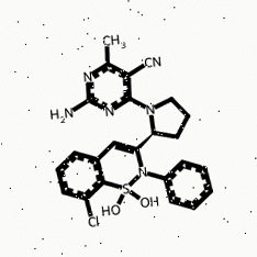 Cc1nc(N)nc(N2CCC[C@H]2C2=Cc3cccc(Cl)c3S(O)(O)N2c2ccccc2)c1C#N